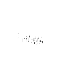 CC(CCNC(=O)c1ccc(-c2cccs2)cc1)CC(=O)NC1(C)C(=O)COC1C